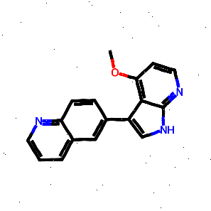 COc1ccnc2[nH]cc(-c3ccc4ncccc4c3)c12